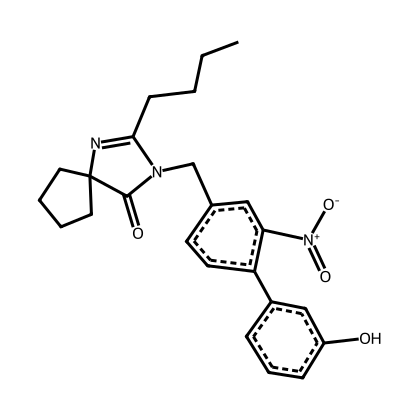 CCCCC1=NC2(CCCC2)C(=O)N1Cc1ccc(-c2cccc(O)c2)c([N+](=O)[O-])c1